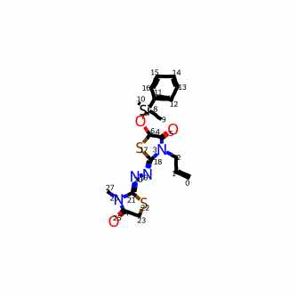 C=CCN1C(=O)C(O[Si](C)(C)c2ccccc2)SC1=NN=C1SCC(=O)N1C